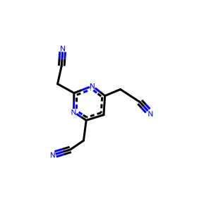 N#CCc1cc(CC#N)nc(CC#N)n1